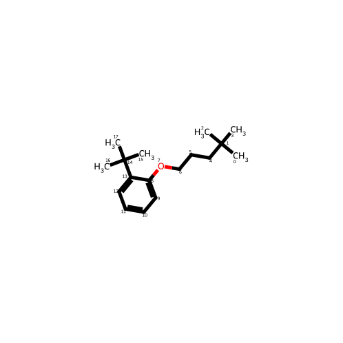 CC(C)(C)CCCOc1ccccc1C(C)(C)C